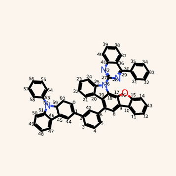 C1=C(c2cccc(-c3cc4c5ccccc5oc4c4c3c3ccccc3n4-c3nc(-c4ccccc4)c4ccccc4n3)c2)C=C2c3ccccc3N(c3ccccc3)C2C1